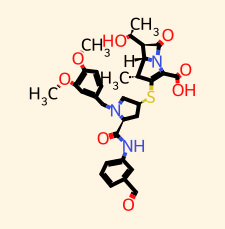 COc1ccc(CN2C[C@@H](SC3=C(C(=O)O)N4C(=O)[C@H]([C@@H](C)O)[C@H]4[C@H]3C)C[C@H]2C(=O)Nc2cccc(C=O)c2)cc1OC